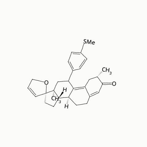 CSc1ccc(C2C[C@@]3(C)[C@@H](CC[C@@]34C=CCO4)[C@@H]3CCC4=CC(=O)[C@@H](C)CC4=C23)cc1